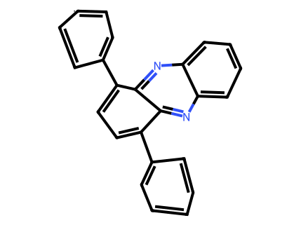 [c]1ccc(-c2ccc(-c3ccccc3)c3nc4ccccc4nc23)cc1